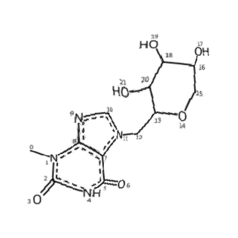 Cn1c(=O)[nH]c(=O)c2c1ncn2CC1OCC(O)C(O)C1O